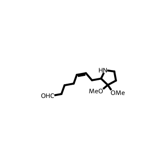 COC1(OC)CCNC1C/C=C\CCCC=O